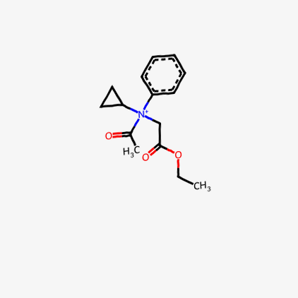 CCOC(=O)C[N+](C(C)=O)(c1ccccc1)C1CC1